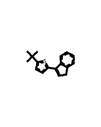 CC(C)(C)c1ccc(C2=CCc3ccccc32)s1